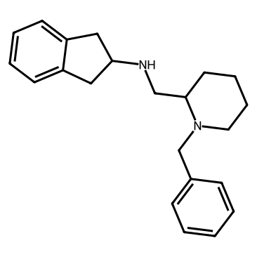 c1ccc(CN2CCCCC2CNC2Cc3ccccc3C2)cc1